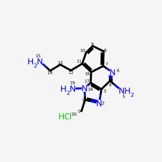 Cc1nc2c(N)nc3cccc(CCCN)c3c2n1N.Cl